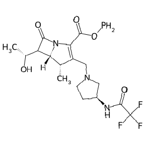 C[C@@H](O)C1C(=O)N2C(C(=O)OP)=C(CN3CC[C@H](NC(=O)C(F)(F)F)C3)[C@H](C)[C@H]12